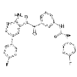 O=C(Nc1ccc(F)cc1)Nc1cccc(C(=O)c2c[nH]c3ncc(-c4ccc(F)cc4)cc23)c1